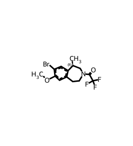 COc1cc2c(cc1Br)[C@@H](C)CN(C(=O)C(F)(F)F)CC2